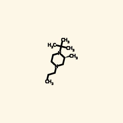 CCCN1CCN(C(C)(C)C)[C@H](C)C1